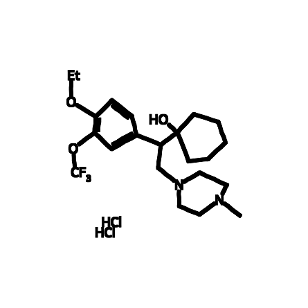 CCOc1ccc(C(CN2CCN(C)CC2)C2(O)CCCCC2)cc1OC(F)(F)F.Cl.Cl